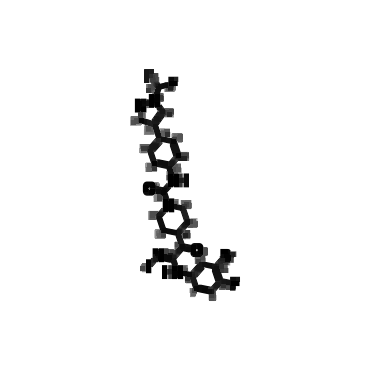 O=C(/C(=N/I)Nc1ccc(F)c(Br)c1)C1CCN(C(=O)Nc2ccc(-c3cnn(C(F)F)c3)cc2)CC1